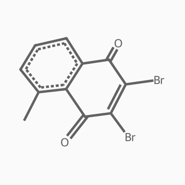 Cc1cccc2c1C(=O)C(Br)=C(Br)C2=O